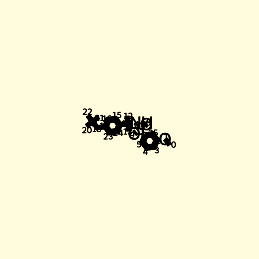 COc1cccc(S(=O)(=O)NC(C)(C)c2ccc(CC(C)(C)C)cc2)c1